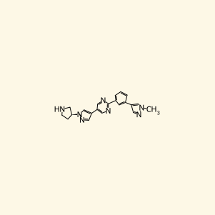 Cn1cc(-c2cccc(-c3ncc(-c4cnn([C@H]5CCNC5)c4)cn3)c2)cn1